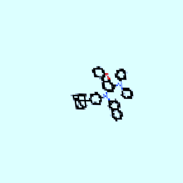 c1ccc(N(c2ccccc2)c2cc(N(c3ccc(C45CC6CC7CC(C4)C75C6)cc3)c3ccc4ccccc4c3)cc3c2oc2ccccc23)cc1